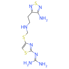 NC(N)=Nc1nc(SCNCCc2nsnc2N)cs1